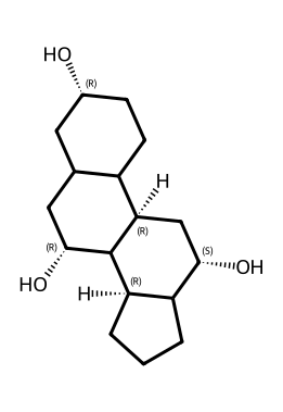 O[C@@H]1CCC2C(C1)C[C@@H](O)C1[C@@H]2C[C@H](O)C2CCC[C@@H]12